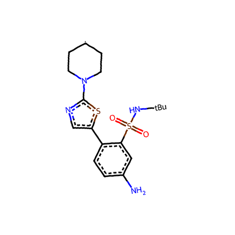 CC(C)(C)NS(=O)(=O)c1cc(N)ccc1-c1cnc(N2CC[CH]CC2)s1